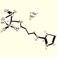 O=P([O-])([O-])C(NCCCCSc1nccs1)P(=O)(O)O.[Na+].[Na+]